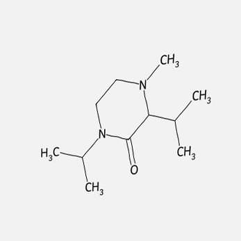 CC(C)C1C(=O)N(C(C)C)CCN1C